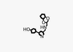 Oc1ccc(-c2cncc(CNCC3COc4ccccc4O3)c2)cc1